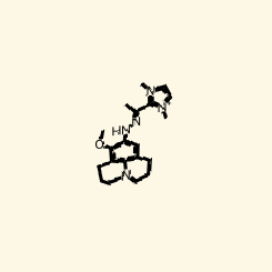 COc1c(N/N=C(\C)c2n(C)cc[n+]2C)cc2c3c1CCCN3CCC2